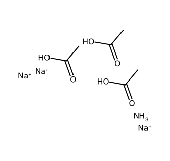 CC(=O)O.CC(=O)O.CC(=O)O.N.[Na+].[Na+].[Na+]